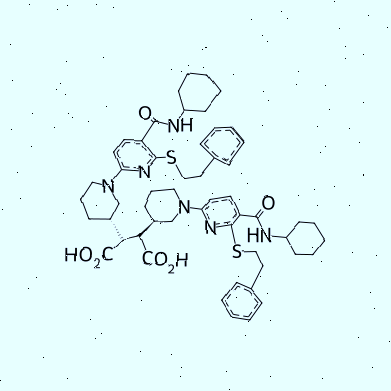 O=C(NC1CCCCC1)c1ccc(N2CCC[C@@H](C(C(=O)O)C(C(=O)O)[C@H]3CCCN(c4ccc(C(=O)NC5CCCCC5)c(SCCc5ccccc5)n4)C3)C2)nc1SCCc1ccccc1